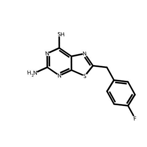 Nc1nc(S)c2nc(Cc3ccc(F)cc3)sc2n1